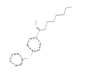 CCCCCCCC(=NO)c1ccc(Sc2ccccc2)cc1